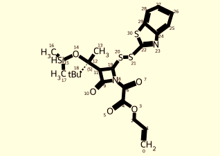 C=CCOC(=O)C(=O)N1C(=O)C([C@](C)(O[SiH](C)C)C(C)(C)C)C1SSc1nc2ccccc2s1